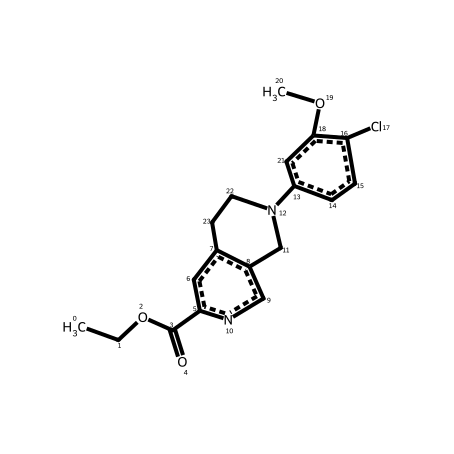 CCOC(=O)c1cc2c(cn1)CN(c1ccc(Cl)c(OC)c1)CC2